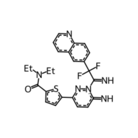 CCN(CC)C(=O)c1ccc(-c2ccc(=N)n(C(=N)C(F)(F)c3ccc4ncccc4c3)n2)s1